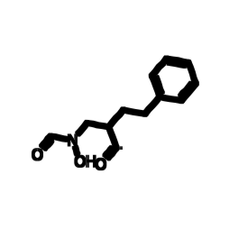 O=[C]C(CCc1ccccc1)CN(O)C=O